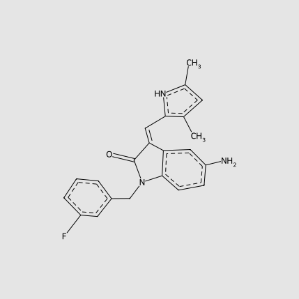 Cc1cc(C)c(C=C2C(=O)N(Cc3cccc(F)c3)c3ccc(N)cc32)[nH]1